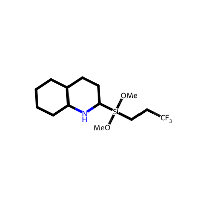 CO[Si](CCC(F)(F)F)(OC)C1CCC2CCCCC2N1